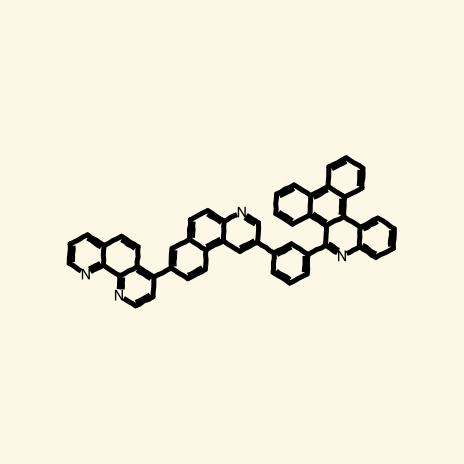 c1cc(-c2cnc3ccc4cc(-c5ccnc6c5ccc5cccnc56)ccc4c3c2)cc(-c2nc3ccccc3c3c4ccccc4c4ccccc4c23)c1